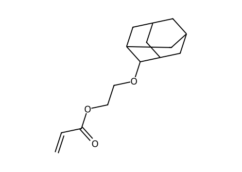 C=CC(=O)OCCOC1C2CC3CC(C2)CC1C3